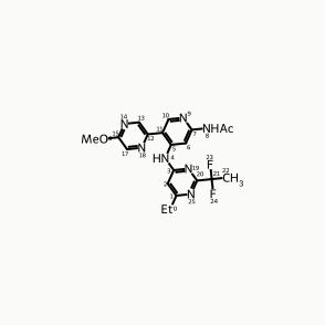 CCc1cc(Nc2cc(NC(C)=O)ncc2-c2cnc(OC)cn2)nc(C(C)(F)F)n1